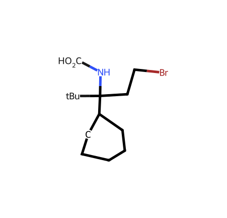 CC(C)(C)C(CCBr)(NC(=O)O)C1CCCCC1